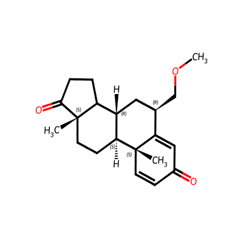 COC[C@@H]1C[C@H]2C3CCC(=O)[C@@]3(C)CC[C@@H]2[C@@]2(C)C=CC(=O)C=C12